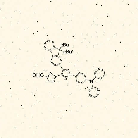 CCCCC1(CCCC)c2ccccc2-c2ccc(-c3cc(-c4ccc(N(c5ccccc5)c5ccccc5)cc4)sc3-c3ccc(C=O)s3)cc21